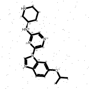 CC(C)Oc1ccc2ncn(-c3cncc(N[C@@H]4CCCNC4)n3)c2c1